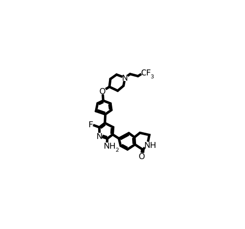 Nc1nc(F)c(-c2ccc(OC3CCN(CCC(F)(F)F)CC3)cc2)cc1-c1ccc2c(c1)CCNC2=O